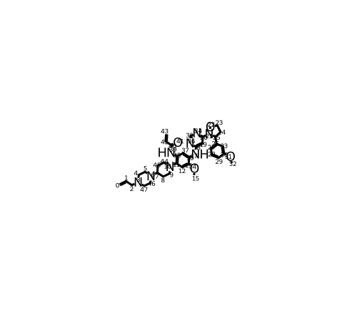 C=CCN1CCN(C2CCN(c3cc(OC)c(Nc4cc(N5OCCC5c5cccc(OC)c5)ncn4)cc3NC(=O)C=C)CC2)CC1